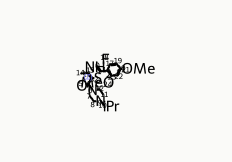 C=C(S/C(C(=O)N1CCN(C(C)C)CC1)=C(/C)N)c1c(F)cc(OC)cc1OC